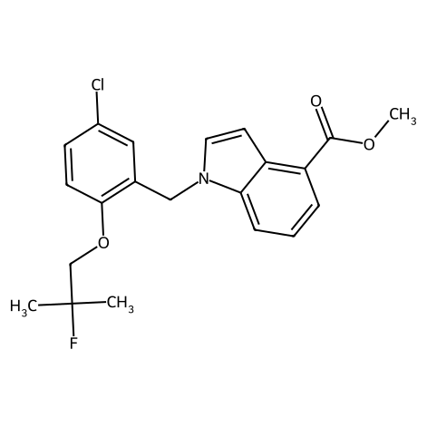 COC(=O)c1cccc2c1ccn2Cc1cc(Cl)ccc1OCC(C)(C)F